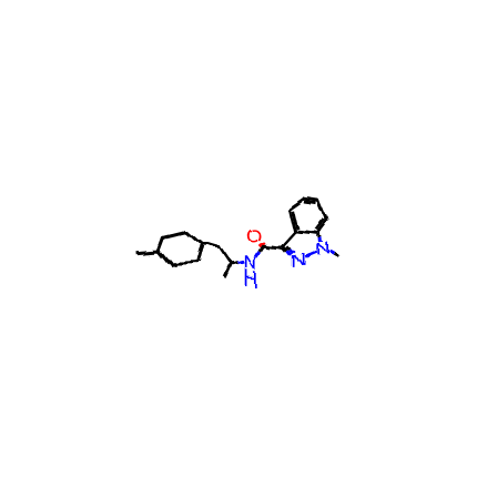 CC1CCC(CC(C)NC(=O)c2nn(C)c3ccccc23)CC1